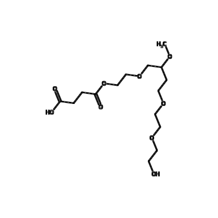 COC(CCOCCOCCO)COCCOC(=O)CCC(=O)O